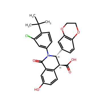 CC(C)(C)c1ccc(N2C(=O)c3cc(O)ccc3[C@H](C(=O)O)[C@H]2c2ccc3c(c2)OCCO3)cc1Cl